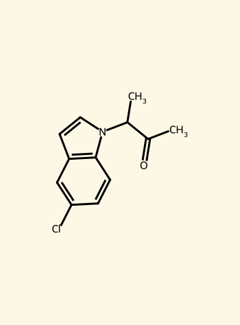 CC(=O)C(C)n1ccc2cc(Cl)ccc21